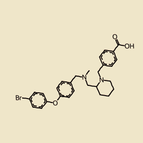 CN(Cc1ccc(Oc2ccc(Br)cc2)cc1)CC1CCCCN1Cc1ccc(C(=O)O)cc1